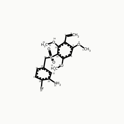 C=Cc1c(OC)cc(OC)c(S(=O)(=O)Cc2ccc(Br)c(N)c2)c1OC